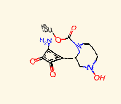 CC(C)(C)OC(=O)N1CCN(O)CC1c1c(N)c(=O)c1=O